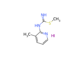 CSC(=N)Nc1ncccc1C.I